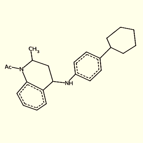 CC(=O)N1c2ccccc2C(Nc2ccc(C3CCCCC3)cc2)CC1C